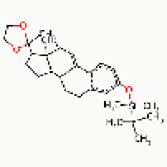 CC1(C2CCC3C4CCc5cc(O[Si](C)(C)C(C)(C)C)ccc5C4=CC[C@@]32C)OCCO1